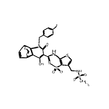 CS(=O)(=O)NCc1csc2c1S(=O)(=O)N=C(C1=C(O)C3C4C=CC(CCC4)C3N(Cc3ccc(F)cc3)C1=O)N2